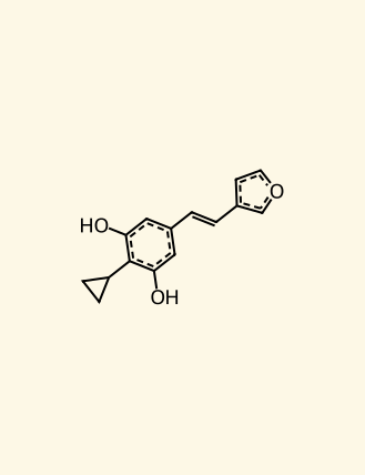 Oc1cc(C=Cc2ccoc2)cc(O)c1C1CC1